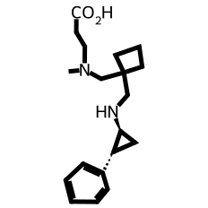 CN(CCC(=O)O)CC1(CN[C@H]2C[C@@H]2c2ccccc2)CCC1